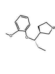 CC[C@H](Oc1ccccc1OC)[C@H]1CCNC1